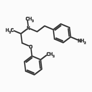 Cc1ccccc1OCC(C)N(C)CCc1ccc(N)cc1